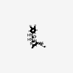 CCCNc1cc(C)nc(NC(=O)Nc2ccc(C)c(C)c2)n1